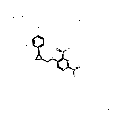 O=[N+]([O-])c1ccc(SCC2CC2c2ccccc2)c([N+](=O)[O-])c1